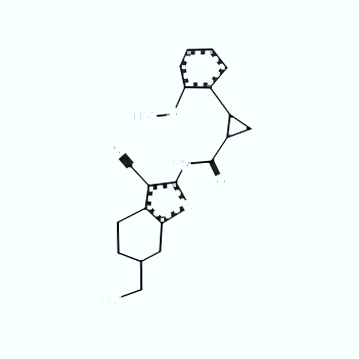 COc1ccccc1C1CC1C(=O)Nc1sc2c(c1C#N)CCC(CO)C2